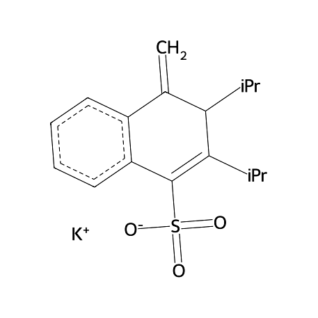 C=C1c2ccccc2C(S(=O)(=O)[O-])=C(C(C)C)C1C(C)C.[K+]